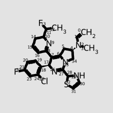 C=CN(C)[C@H]1CC2=C(C3=NC(C(C)F)CC=C3)[C@H](c3ccc(F)cc3Cl)N=C(C3NC=CS3)N2C1